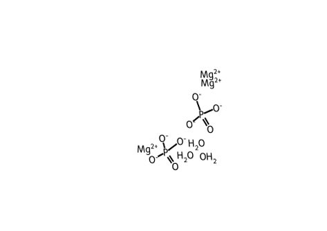 O.O.O.O=P([O-])([O-])[O-].O=P([O-])([O-])[O-].[Mg+2].[Mg+2].[Mg+2]